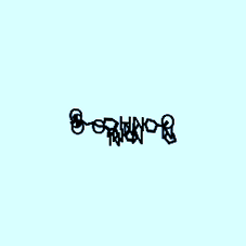 CS(=O)(=O)CCCOc1cccc2c1cnn2-c1ccnc(NC2CCC(C(=O)N3CCCC3)CC2)n1